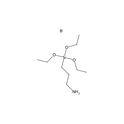 CCO[Si](CCCN)(OCC)OCC.[B]